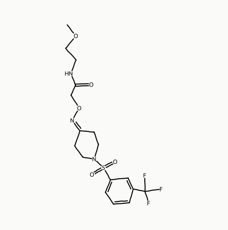 COCCNC(=O)CON=C1CCN(S(=O)(=O)c2cccc(C(F)(F)F)c2)CC1